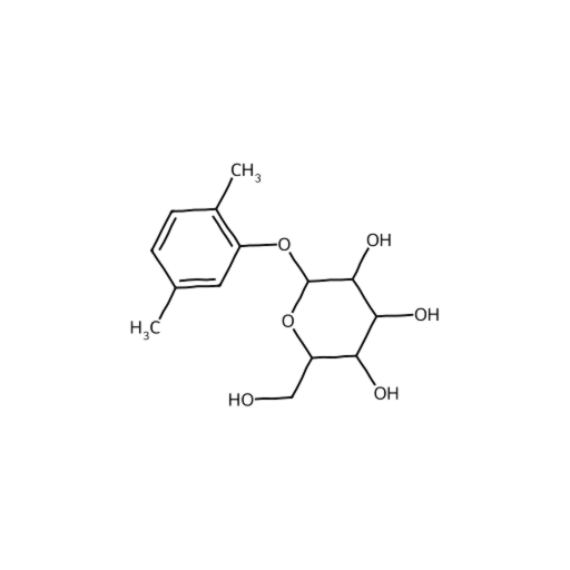 Cc1ccc(C)c(OC2OC(CO)C(O)C(O)C2O)c1